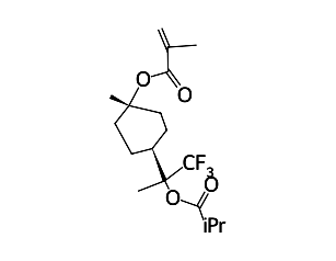 C=C(C)C(=O)O[C@]1(C)CC[C@@H](C(C)(OC(=O)C(C)C)C(F)(F)F)CC1